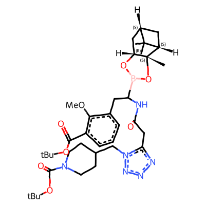 COc1c(CC(NC(=O)Cc2nnnn2CC2CCN(C(=O)OC(C)(C)C)CC2)B2O[C@@H]3C[C@@H]4C[C@@H](C4(C)C)[C@]3(C)O2)cccc1C(=O)OC(C)(C)C